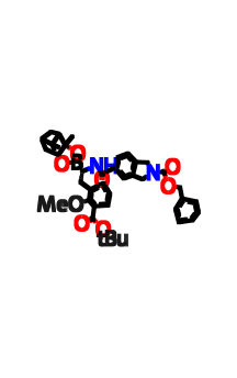 COc1c(C[C@H](NC(=O)c2ccc3c(c2)CN(C(=O)OCc2ccccc2)C3)B2OC3CC4CC(C4(C)C)C3(C)O2)cccc1C(=O)OC(C)(C)C